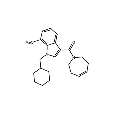 COc1cccc2c(C(=O)N3CCC=CCC3)cn(CC3CCCCC3)c12